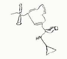 CS(=O)(=O)c1cccc(C(=O)NC2CC2)c1